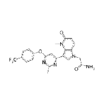 Cc1nc(Oc2ccc(C(F)(F)F)cc2)cc(-c2cn(CC(N)=O)c3ccc(=O)n(C)c23)n1